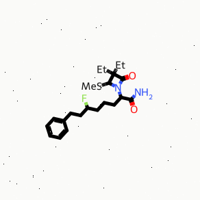 CCC1(CC)C(=O)N(C(CCCC(F)CCc2ccccc2)C(N)=O)C1SC